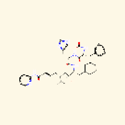 CC(C)[C@@H](C/C=C/C(=O)Nc1ccccn1)C[C@@H](O)[C@H](CC1CCCCC1)NC(=O)[C@H](Cc1c[nH]cn1)NC(=O)[C@H](Cc1ccccc1)NC(=O)O